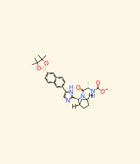 COC(=O)N[C@@H](C)C(=O)N1[C@@H]2CC[C@@H](C2)[C@H]1c1ncc(-c2ccc3cc(B4OC(C)(C)C(C)(C)O4)ccc3c2)[nH]1